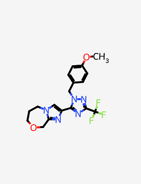 COc1ccc(Cn2nc(C(F)(F)F)nc2-c2cn3c(n2)COCCC3)cc1